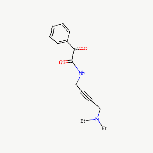 CCN(CC)CC#CCNC(=O)C(=O)c1ccccc1